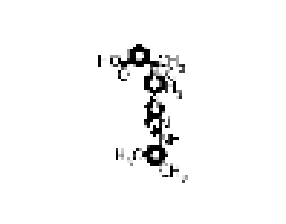 C=C(c1cccc(C(=O)O)c1)N1CC[C@@H](N2Cc3cnc(Nc4cc(C)cc(C)c4)nc3C2)C[C@H]1C